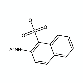 CC(=O)Nc1ccc2ccccc2c1S([O])(=O)=O